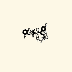 Cc1nn(Cc2c(F)cccc2F)c(C)c1NC(=O)c1cc(C(N)=O)nc2cc(F)ccc12